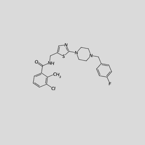 Cc1c(Cl)cccc1C(=O)NCc1cnc(N2CCN(Cc3ccc(F)cc3)CC2)s1